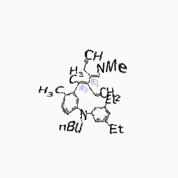 C#CCC(=C\NC)/C(C=C)=C(\C)c1cc(N(CCCC)c2cc(CC)cc(CC)c2)ccc1C